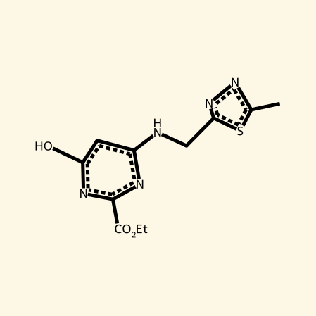 CCOC(=O)c1nc(O)cc(NCc2nnc(C)s2)n1